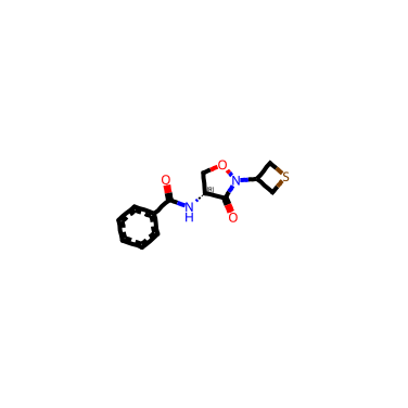 O=C(N[C@@H]1CON(C2CSC2)C1=O)c1ccccc1